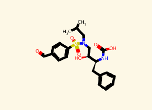 CC(C)CN(C[C@H](O)[C@H](Cc1ccccc1)NC(=O)O)S(=O)(=O)c1ccc(C=O)cc1